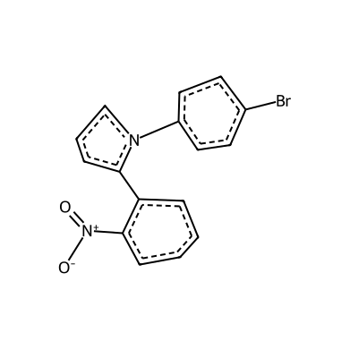 O=[N+]([O-])c1ccccc1-c1cccn1-c1ccc(Br)cc1